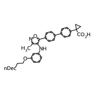 CCCCCCCCCCCCOc1cccc(Nc2c(C)noc2-c2ccc(-c3ccc(C4(C(=O)O)CC4)cc3)cc2)c1